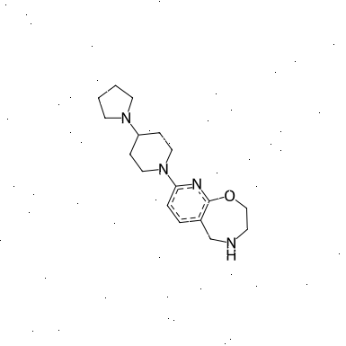 c1cc2c(nc1N1CCC(N3CCCC3)CC1)OCCNC2